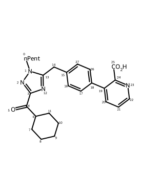 CCCCCn1nc(C(=O)C2CCCCC2)nc1Cc1ccc(-c2cccnc2C(=O)O)cc1